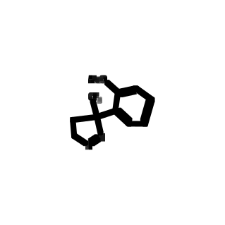 COc1ccccc1C1(C(F)(F)F)CCN=N1